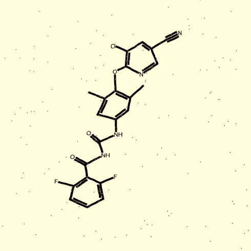 Cc1cc(NC(=O)NC(=O)c2c(F)cccc2F)cc(C)c1Oc1ncc(C#N)cc1Cl